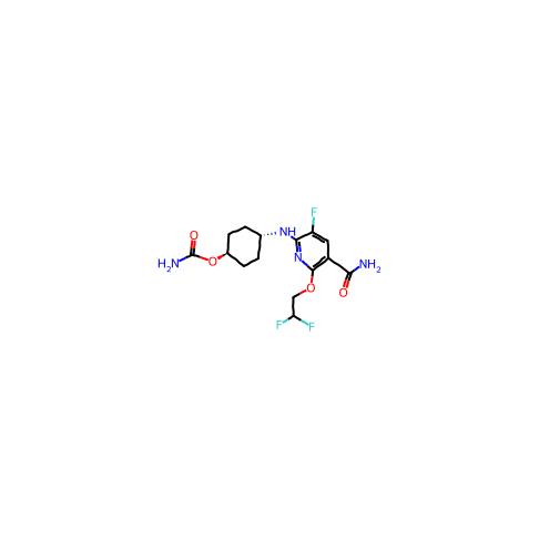 NC(=O)O[C@H]1CC[C@H](Nc2nc(OCC(F)F)c(C(N)=O)cc2F)CC1